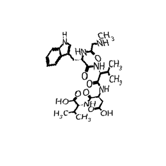 CNCC(=O)N[C@@H](Cc1c[nH]c2ccccc12)C(=O)N[C@@H](C(=O)N[C@@H](CC(=O)O)C(=O)N[C@@H](C(=O)O)C(C)C)C(C)C